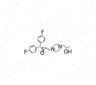 CC(O)CN1CCN(CC[S+]([O-])C(c2ccc(F)cc2)c2ccc(F)cc2)CC1